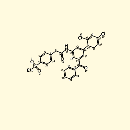 CCS(=O)(=O)c1ccc(CC(=O)Nc2cc(C(=O)c3ccccc3)cc(C3CC=C(Cl)C=C3Cl)c2)cc1